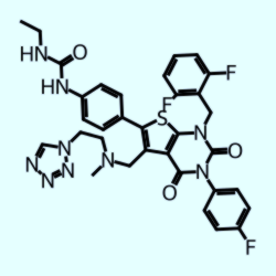 CCNC(=O)Nc1ccc(-c2sc3c(c2CN(C)CCn2cnnn2)c(=O)n(-c2ccc(F)cc2)c(=O)n3Cc2c(F)cccc2F)cc1